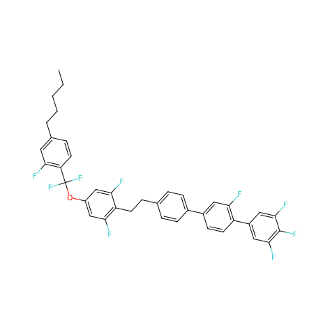 CCCCCc1ccc(C(F)(F)Oc2cc(F)c(CCc3ccc(-c4ccc(-c5cc(F)c(F)c(F)c5)c(F)c4)cc3)c(F)c2)c(F)c1